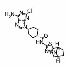 Nc1nc(Cl)nc2c1ncn2[C@H]1CC[C@@H](C(=O)Nc2nc3c(s2)[C@H]2CC[C@@H](C3)N2)CC1